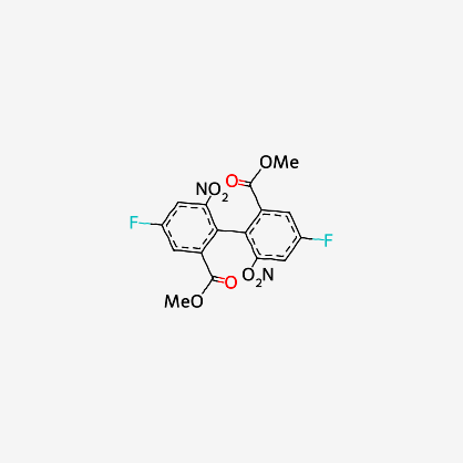 COC(=O)c1cc(F)cc([N+](=O)[O-])c1-c1c(C(=O)OC)cc(F)cc1[N+](=O)[O-]